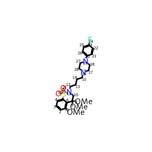 COc1cccc2c1C(OC)(OC)CN(CCCCN1CCN(c3ccc(F)cc3)CC1)S2(=O)=O